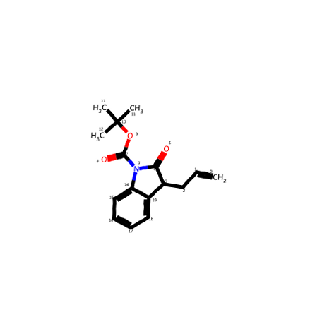 C=CCC1C(=O)N(C(=O)OC(C)(C)C)c2ccccc21